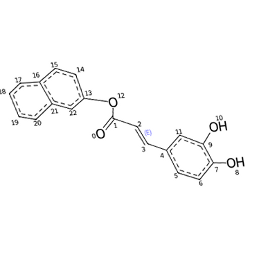 O=C(/C=C/c1ccc(O)c(O)c1)Oc1ccc2ccccc2c1